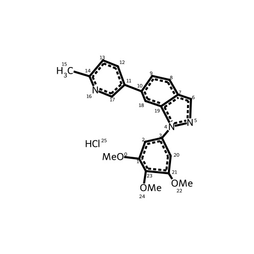 COc1cc(-n2ncc3ccc(-c4ccc(C)nc4)cc32)cc(OC)c1OC.Cl